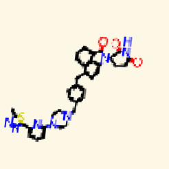 Cc1nnc(-c2cccc(N3CCN(Cc4ccc(Cc5ccc6c7c(cccc57)C(=O)N6C5CCC(=O)NC5=O)cc4)CC3)n2)s1